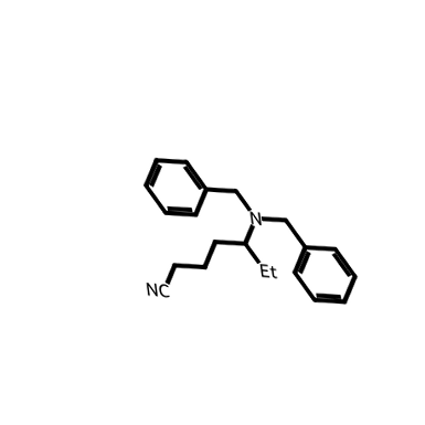 CCC(CCCC#N)N(Cc1ccccc1)Cc1ccccc1